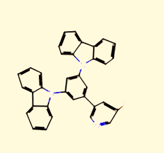 Brc1cncc(-c2cc(-n3c4ccccc4c4ccccc43)cc(-n3c4ccccc4c4ccccc43)c2)c1